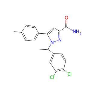 Cc1ccc(-c2cc(C(N)=O)nn2C(C)c2ccc(Cl)c(Cl)c2)cc1